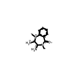 CN1C(=O)c2ccccc2N(C)C(N)C1N